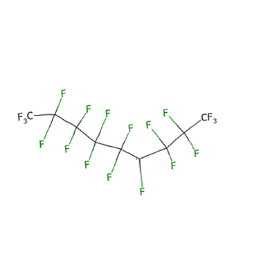 F[C](C(F)(F)C(F)(F)C(F)(F)F)C(F)(F)C(F)(F)C(F)(F)C(F)(F)C(F)(F)F